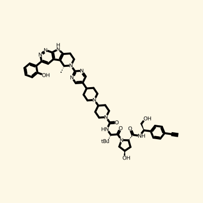 C#Cc1ccc([C@H](CO)NC(=O)[C@@H]2C[C@@H](O)CN2C(=O)[C@@H](NC(=O)N2CCC(N3CCC(c4cnc(N5CCc6[nH]c7nnc(-c8ccccc8O)cc7c6[C@H]5C)nc4)CC3)CC2)C(C)(C)C)cc1